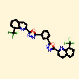 FC(F)(F)c1cccc2ccc(-c3nnc(-c4cccc(-c5nnc(-c6ccc7cccc(C(F)(F)F)c7n6)o5)c4)o3)nc12